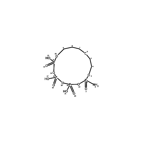 NP1(=O)OCCCCCCOP(=O)(O)OP(=O)(O)OP(=O)(O)O1